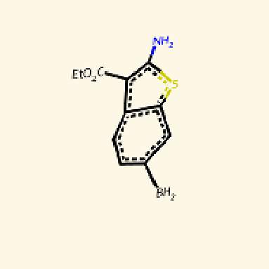 Bc1ccc2c(C(=O)OCC)c(N)sc2c1